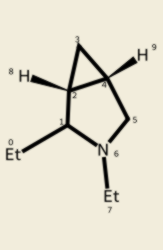 CCC1[C@@H]2C[C@@H]2CN1CC